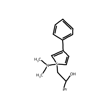 CC(C)C(O)CS1(N(C)C)C=CC(c2ccccc2)=C1